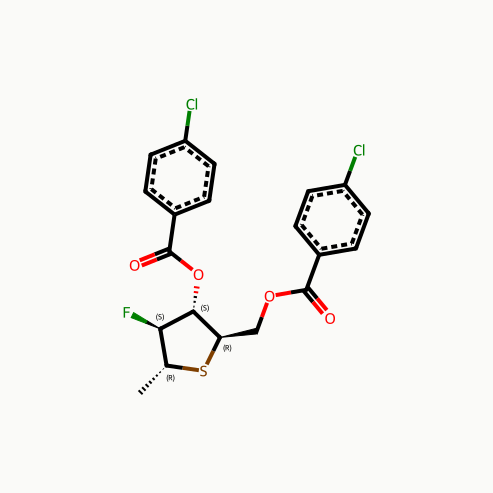 C[C@H]1S[C@H](COC(=O)c2ccc(Cl)cc2)[C@@H](OC(=O)c2ccc(Cl)cc2)[C@@H]1F